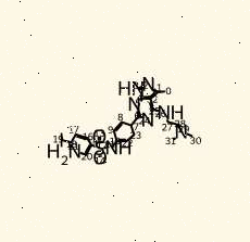 Cc1n[nH]c2nc(C3C=CC(NS(=O)(=O)C(/C=C\CI)=C/N)=CC3)nc(NCCN(C)C)c12